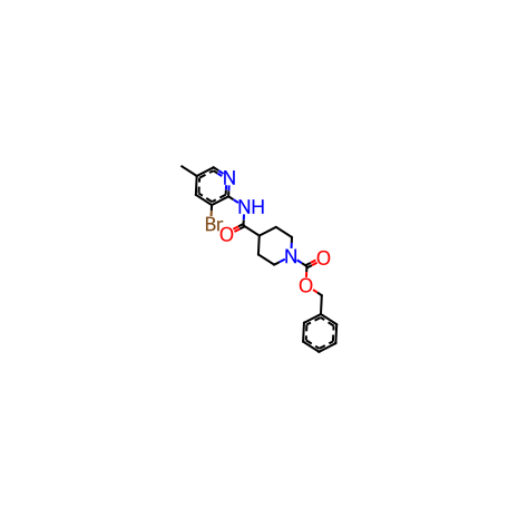 Cc1cnc(NC(=O)C2CCN(C(=O)OCc3ccccc3)CC2)c(Br)c1